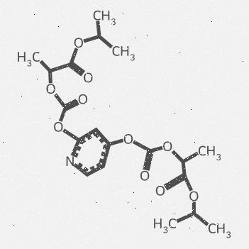 CC(C)OC(=O)C(C)OC(=O)Oc1ccnc(OC(=O)OC(C)C(=O)OC(C)C)c1